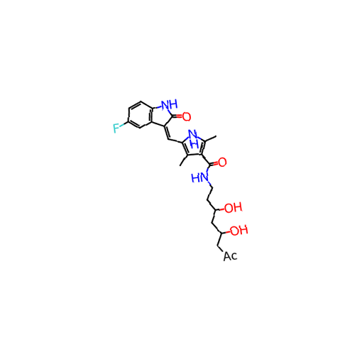 CC(=O)CC(O)CC(O)CCNC(=O)c1c(C)[nH]c(/C=C2\C(=O)Nc3ccc(F)cc32)c1C